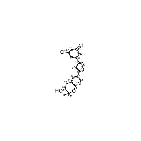 CC1(C)Oc2ncc(-c3nc(-c4cc(Cl)cc(Cl)c4)no3)cc2C[C@H]1O